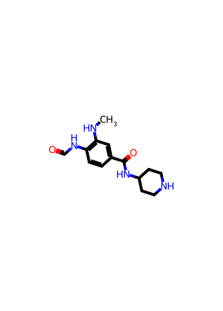 CNc1cc(C(=O)NC2CCNCC2)ccc1NC=O